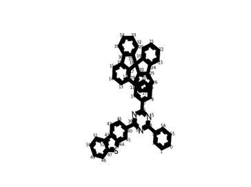 c1ccc(-c2nc(-c3cccc(-c4cccc5c4C4(c6ccccc6-c6ccccc64)c4ccccc4-5)c3)nc(-c3ccc4c(c3)sc3ccccc34)n2)cc1